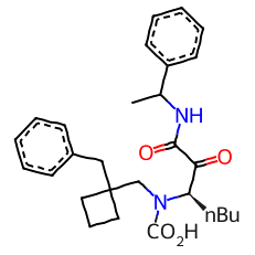 CCCC[C@H](C(=O)C(=O)NC(C)c1ccccc1)N(CC1(Cc2ccccc2)CCC1)C(=O)O